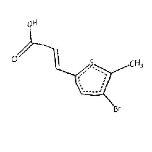 Cc1sc(/C=C/C(=O)O)cc1Br